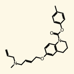 C=CCN(C)CC=CCOc1ccc2c(c1)CCCN2C(=O)Oc1ccc(C)cc1